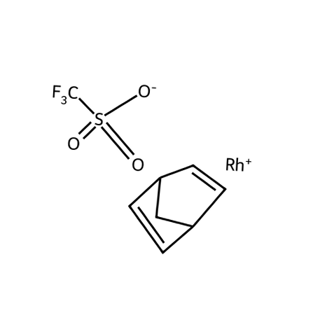 C1=CC2C=CC1C2.O=S(=O)([O-])C(F)(F)F.[Rh+]